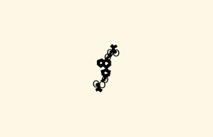 C=C(C)C(=O)OCOc1ccc(-c2ccc(OCOC(=O)C(=C)C)c3ccccc23)cc1